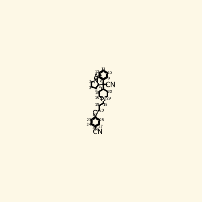 CC(=O)N1CCC[C@@H]1C(C#N)(c1ccccc1)C1CCN(CCCOc2ccc(C#N)cc2)CC1